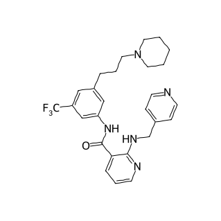 O=C(Nc1cc(CCCN2CCCCC2)cc(C(F)(F)F)c1)c1cccnc1NCc1ccncc1